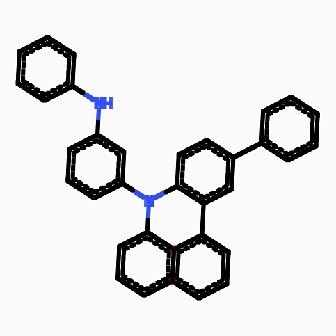 c1ccc(Nc2cccc(N(c3ccccc3)c3ccc(-c4ccccc4)cc3-c3ccccc3)c2)cc1